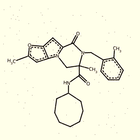 Cc1cc2c(cc3n2CC(C)(C(=O)NC2CCCCCCC2)N(Cc2ccccc2C)C3=O)o1